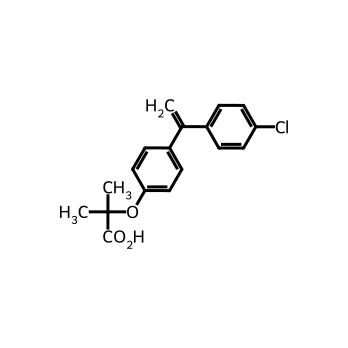 C=C(c1ccc(Cl)cc1)c1ccc(OC(C)(C)C(=O)O)cc1